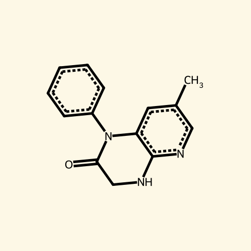 Cc1cnc2c(c1)N(c1ccccc1)C(=O)CN2